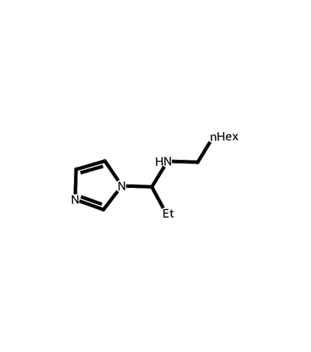 CCCCCCCNC(CC)n1ccnc1